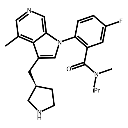 Cc1cncc2c1c(C[C@H]1CCNC1)cn2-c1ccc(F)cc1C(=O)N(C)C(C)C